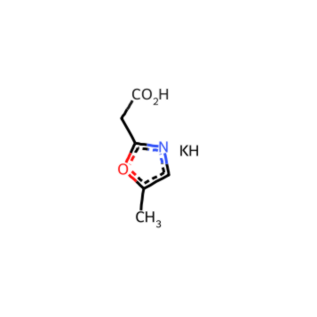 Cc1cnc(CC(=O)O)o1.[KH]